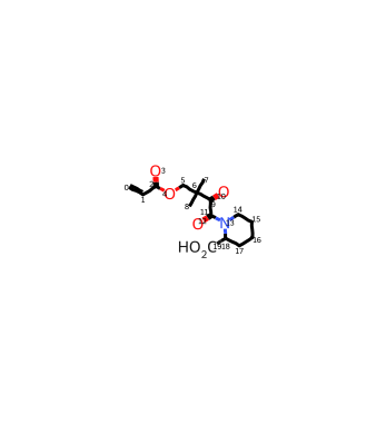 C=CC(=O)OCC(C)(C)C(=O)C(=O)N1CCCCC1C(=O)O